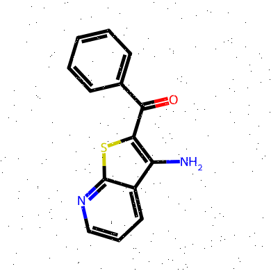 Nc1c(C(=O)c2ccccc2)sc2ncccc12